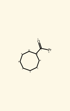 CC(C)C(=O)C1CCCCCCC1